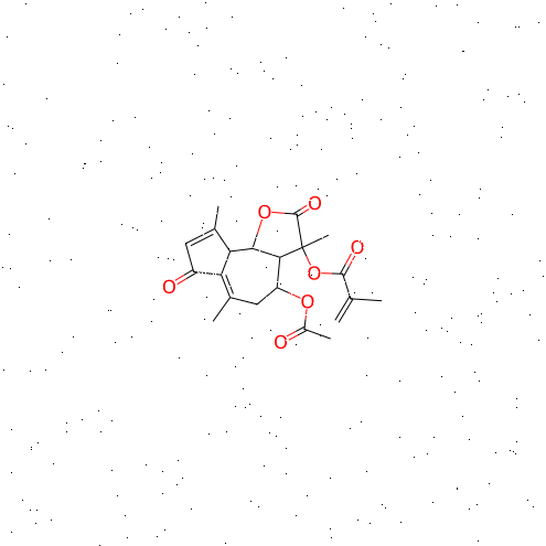 C=C(C)C(=O)OC1(C)C(=O)OC2C3C(C)=CC(=O)C3=C(C)CC(OC(C)=O)C21